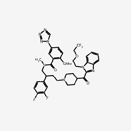 COc1ccc(-n2cnnn2)cc1C(=O)N(C)CC(CCN1CCC(C(=O)c2nc3ccccc3n2CCOCC(F)(F)F)CC1)c1ccc(F)c(F)c1